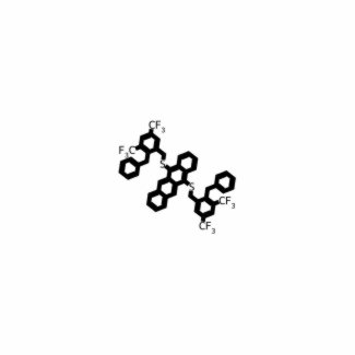 FC(F)(F)c1cc(CSc2c3ccccc3c(SCc3cc(C(F)(F)F)cc(C(F)(F)F)c3Cc3ccccc3)c3cc4ccccc4cc23)c(Cc2ccccc2)c(C(F)(F)F)c1